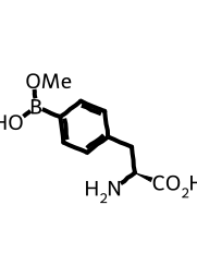 COB(O)c1ccc(C[C@H](N)C(=O)O)cc1